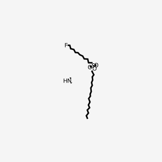 CCCCCCCCCCCCCCCCCCOS(=O)(=O)CCCCCCCCCCCF.CNC